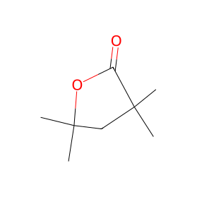 CC1(C)CC(C)(C)C(=O)O1